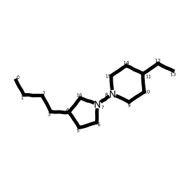 CCCCC1CCN(N2CCC(CC)CC2)C1